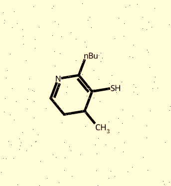 CCCCC1=C(S)C(C)CC=N1